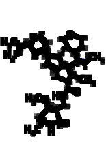 C/C=C(/C1=C(C)C(C(=O)NCc2c(OC)cc(C)[nH]c2=O)Cc2cc(-c3ccnc(N(C)P)c3)cn21)N1CCOCC1